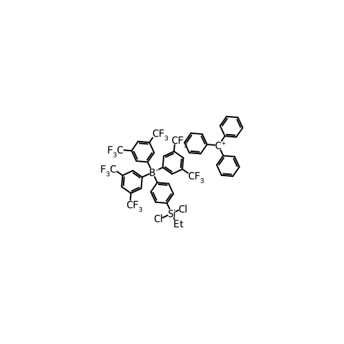 CC[Si](Cl)(Cl)c1ccc([B-](c2cc(C(F)(F)F)cc(C(F)(F)F)c2)(c2cc(C(F)(F)F)cc(C(F)(F)F)c2)c2cc(C(F)(F)F)cc(C(F)(F)F)c2)cc1.c1ccc([C+](c2ccccc2)c2ccccc2)cc1